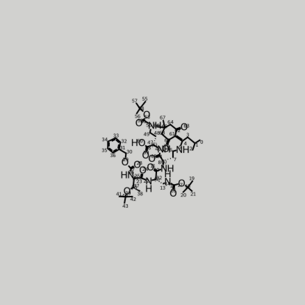 CC(C)CC(NCC[C@H](NC(=O)[C@H](CNC(=O)OC(C)(C)C)NC(=O)[C@@H](NC(=O)OCc1ccccc1)[C@@H](C)OC(C)(C)C)C(=O)N[C@@H](CCNC(=O)OC(C)(C)C)C(=O)O)=C1C(=O)CC(C)(C)CC1=O